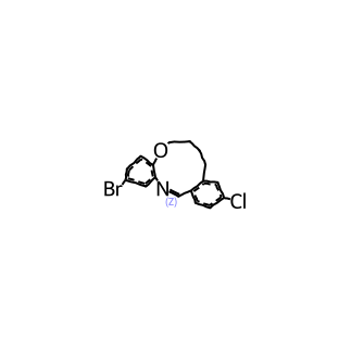 Clc1ccc2c(c1)CCCCOc1ccc(Br)cc1/N=C\2